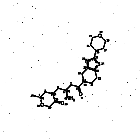 C[C@H]1CN(C[C@H](N)CC(=O)N2CCc3sc(C4CCOCC4)nc3C2)C(=O)CO1